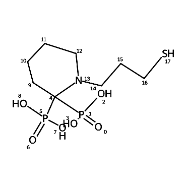 O=P(O)(O)C1(P(=O)(O)O)CCCCN1CCCS